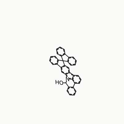 OC1c2ccccc2-c2cccc3c4cc5c(cc4n1c23)-c1ccccc1C51c2ccccc2-c2ccccc21